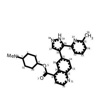 CNC1CCC(OC(=O)c2ccnc3ccc(-c4cn[nH]c4-c4cccc(C)n4)cc23)CC1